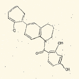 O=C(c1ccc(O)cc1O)N1CCCc2cc(-c3ccccc3Cl)ccc21